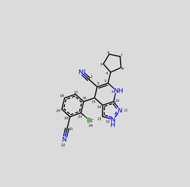 N#CC1=C(C2CCCC2)Nc2n[nH]cc2C1c1cccc(C#N)c1Br